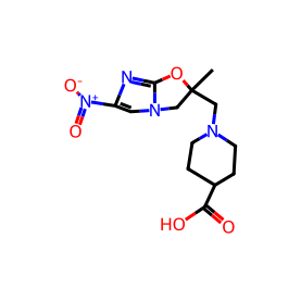 CC1(CN2CCC(C(=O)O)CC2)Cn2cc([N+](=O)[O-])nc2O1